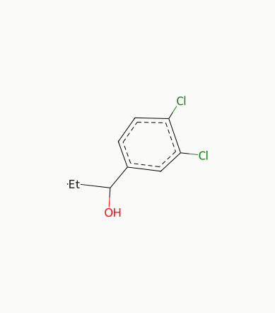 C[CH]C(O)c1ccc(Cl)c(Cl)c1